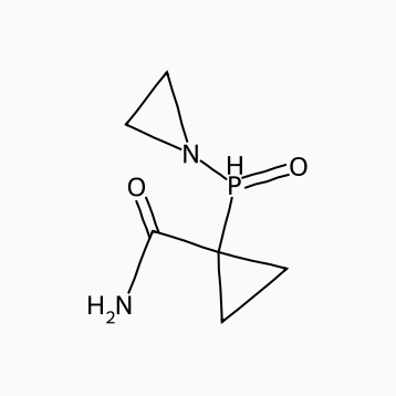 NC(=O)C1([PH](=O)N2CC2)CC1